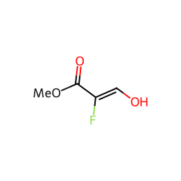 COC(=O)/C(F)=C/O